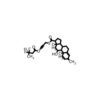 C=C1C=CC2(C)C(=C1)CCC1C2C(O)CC2(C)C(C(=O)SCC#COC(=O)CC(C)(C)F)CCC12